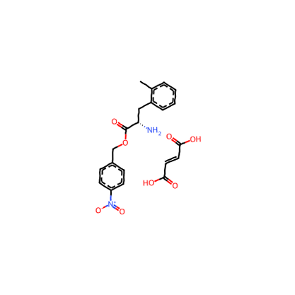 Cc1ccccc1C[C@H](N)C(=O)OCc1ccc([N+](=O)[O-])cc1.O=C(O)/C=C/C(=O)O